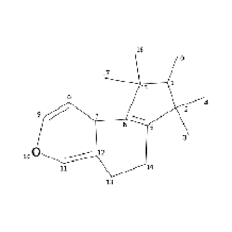 CC1C(C)(C)C2=C(C3C=COC=C3CC2)C1(C)C